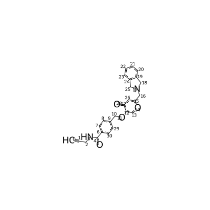 C#CCNC(=O)c1ccc(COc2coc(CN3Cc4ccccc4C3)cc2=O)cc1